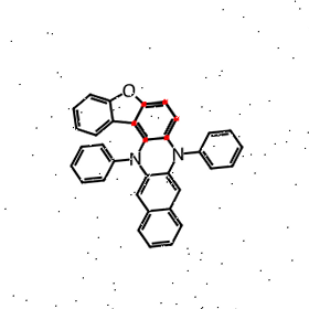 c1ccc(N(c2ccccc2)c2cc3ccccc3cc2N(c2ccccc2)c2cccc3oc4ccccc4c23)cc1